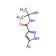 CCCC(C)(C)NC(=O)c1cc(C(C)=O)[nH]n1